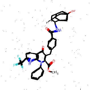 COC(=O)c1c(Cc2ccc(C(=O)NC3C4CC5C[C@@H]3CC(O)(C5)C4)cc2)c(=O)c2ccc(C(F)(F)F)nc2n1-c1ccccc1